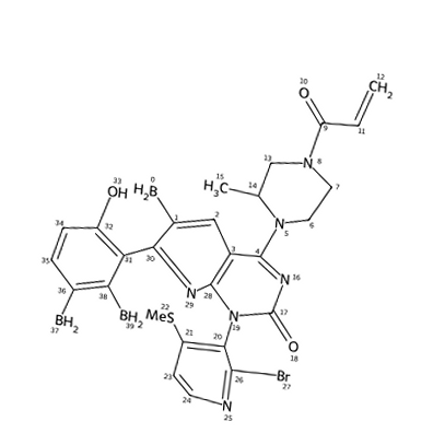 Bc1cc2c(N3CCN(C(=O)C=C)CC3C)nc(=O)n(-c3c(SC)ccnc3Br)c2nc1-c1c(O)ccc(B)c1B